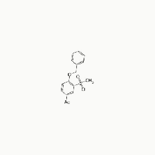 CC(=O)c1ccc(OCc2ccccc2)c(S(C)(=O)=O)c1